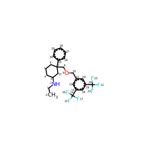 CCNC1CCCC(COCc2cc(C(F)(F)F)cc(C(F)(F)F)c2)(c2ccccc2)C1